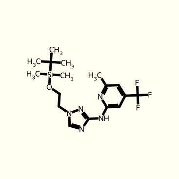 Cc1cc(C(F)(F)F)cc(Nc2ncn(CCO[Si](C)(C)C(C)(C)C)n2)n1